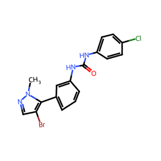 Cn1ncc(Br)c1-c1cccc(NC(=O)Nc2ccc(Cl)cc2)c1